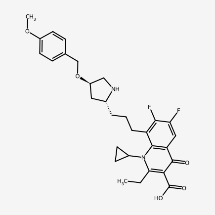 CCc1c(C(=O)O)c(=O)c2cc(F)c(F)c(CCC[C@@H]3C[C@@H](OCc4ccc(OC)cc4)CN3)c2n1C1CC1